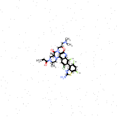 C=CC(=O)N1C[C@@H]2C(=O)N3C[C@@H](CN(C)C)Oc4nc5c(F)c(-c6c(F)cc(F)c7sc(N)nc67)c(Cl)cc5c(c43)N2C[C@H]1C